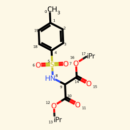 Cc1ccc(S(=O)(=O)NC(C(=O)OC(C)C)C(=O)OC(C)C)cc1